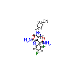 Cc1nn(Cc2ccc(C#N)cc2)c(C)c1-c1c(C(N)=O)nc2cc(F)cc(F)c2c1C(N)=O